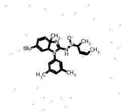 C/C=C\C(C)[S+]([O-])NC1=NC2(C)C=CC(C(C)(C)C)=CC2N1c1cc(C)cc(C)c1